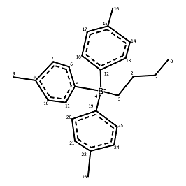 CCCC[B-](c1ccc(C)cc1)(c1ccc(C)cc1)c1ccc(C)cc1